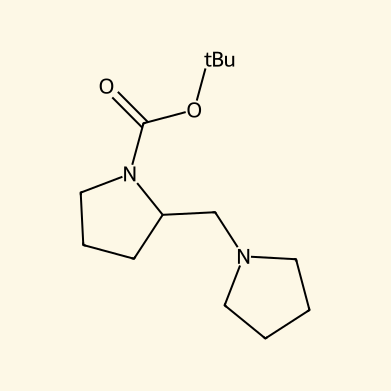 CC(C)(C)OC(=O)N1CCCC1CN1CCCC1